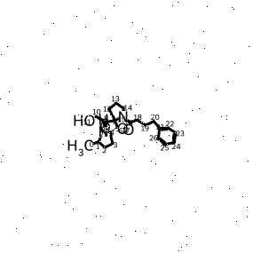 CC1CC[C@@H](C(=O)C2(C(=O)CO)CCCN2C(=O)CCCc2ccccc2)N1